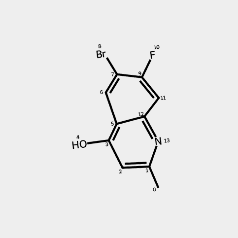 Cc1cc(O)c2cc(Br)c(F)cc2n1